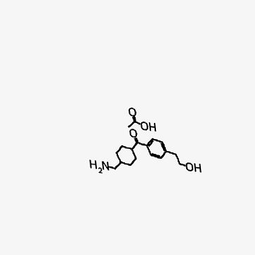 CC(=O)O.NCC1CCC(C(=O)c2ccc(CCO)cc2)CC1